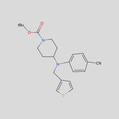 CC(C)(C)OC(=O)N1CCC(N(Cc2ccsc2)c2ccc(C#N)cc2)CC1